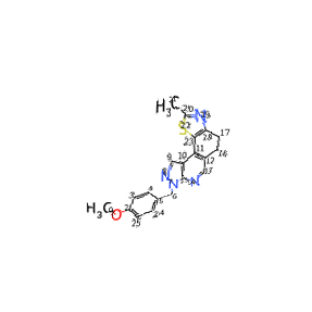 COc1ccc(Cn2ncc3c4c(cnc32)CCc2nc(C)sc2-4)cc1